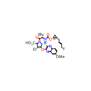 CC[C@@H]1[C@@H](Oc2nc3cc(OC)ccc3nc2F)CN(C(=O)[C@@H](NC(=O)O[C@@H]2C[C@H]2CC=CCF)C(C)(C)C)[C@@H]1C(=O)O